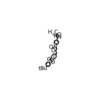 Cc1nc(-c2ccc(N3CC(CN4CCN(S(=O)(=O)c5ccc(C(C)(C)C)cc5)CC4)OC3=O)cc2)no1